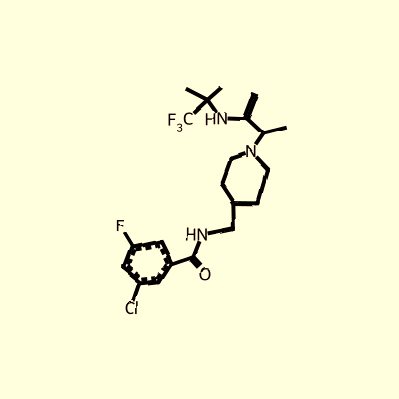 C=C(NC(C)(C)C(F)(F)F)C(C)N1CCC(CNC(=O)c2cc(F)cc(Cl)c2)CC1